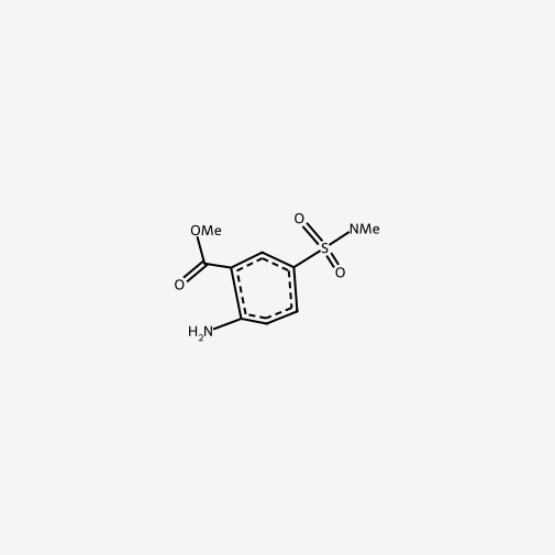 CNS(=O)(=O)c1ccc(N)c(C(=O)OC)c1